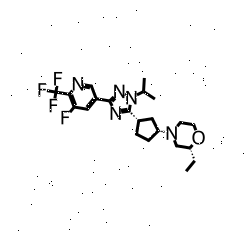 CC[C@@H]1CN([C@@H]2CC[C@H](c3nc(-c4cnc(C(F)(F)F)c(F)c4)nn3C(C)C)C2)CCO1